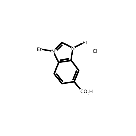 CCn1c[n+](CC)c2ccc(C(=O)O)cc21.[Cl-]